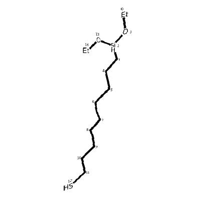 CCO[SiH](CCCCCCCCCS)OCC